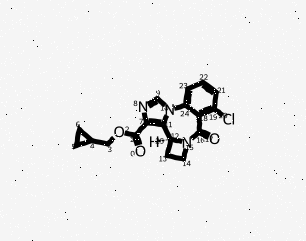 O=C(OCC1CC1)c1ncn2c1[C@@H]1CCN1C(=O)c1c(Cl)cccc1-2